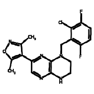 Cc1noc(C)c1-c1cnc2c(n1)N(Cc1c(F)ccc(F)c1Cl)CCN2